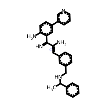 CC(NCc1cccc(/C=C(\N)C(=N)c2cc(-c3cccnc3)ccc2N)c1)c1ccccc1